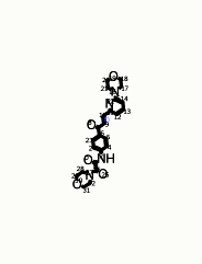 O=C(Nc1ccc(C(=O)/C=C/c2cccc(N3CCOCC3)n2)cc1)C(=O)N1CCOCC1